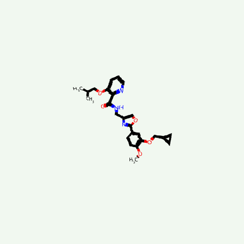 COc1ccc(-c2nc(CNC(=O)c3ncccc3OCC(C)C)co2)cc1OCC1CC1